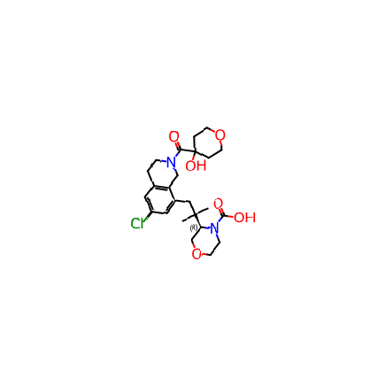 CC(C)(Cc1cc(Cl)cc2c1CN(C(=O)C1(O)CCOCC1)CC2)[C@@H]1COCCN1C(=O)O